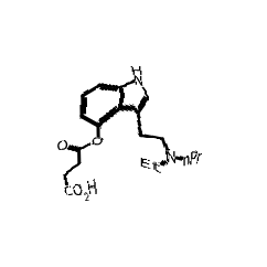 CCCN(CC)CCc1c[nH]c2cccc(OC(=O)CCC(=O)O)c12